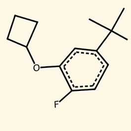 CC(C)(C)c1ccc(F)c(OC2CCC2)c1